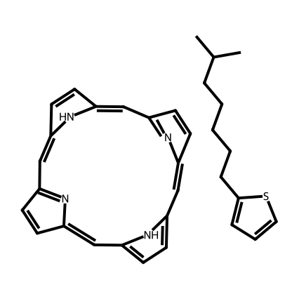 C1=Cc2cc3ccc(cc4nc(cc5ccc(cc1n2)[nH]5)C=C4)[nH]3.CC(C)CCCCCc1cccs1